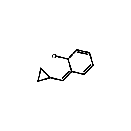 ClC1C=CC=CC1=CC1CC1